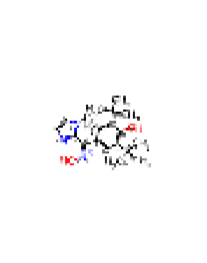 Cn1ccnc1/C(=N\O)c1cc(C(C)(C)C)c(O)c(C(C)(C)C)c1